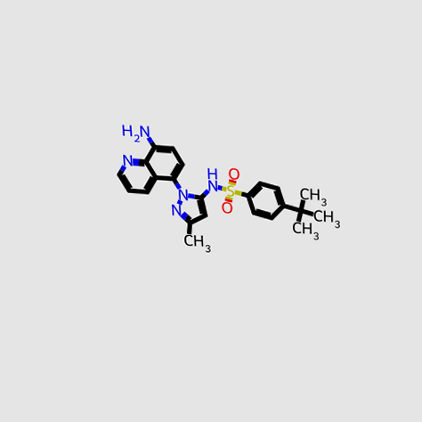 Cc1cc(NS(=O)(=O)c2ccc(C(C)(C)C)cc2)n(-c2ccc(N)c3ncccc23)n1